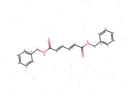 O=C(/C=C/C=C/C(=O)OCc1ccccc1)OCc1ccccc1